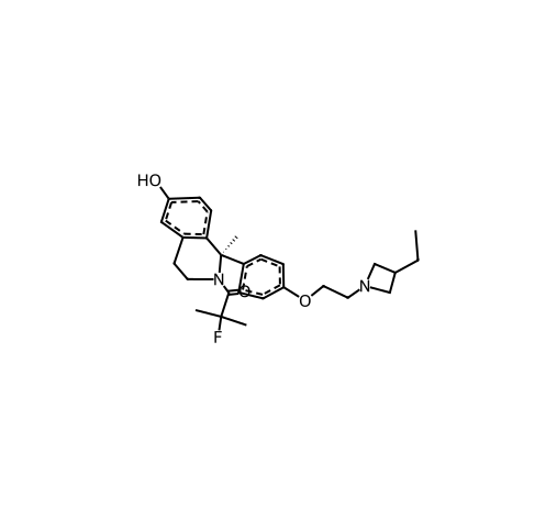 CCC1CN(CCOc2ccc([C@]3(C)c4ccc(O)cc4CCN3C(=O)C(C)(C)F)cc2)C1